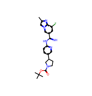 Cc1cn2cc(C(=N)Nc3ccc(C4CCN(C(=O)OC(C)(C)C)C4)cn3)cc(F)c2n1